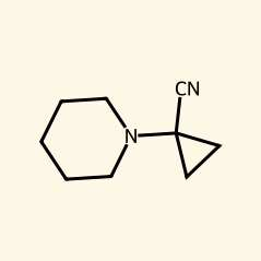 N#CC1(N2CCCCC2)CC1